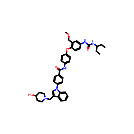 CCC(CC)NC(=O)Nc1ccc(Oc2ccc(NC(=O)c3ccc(-n4cc(CN5CCC(O)CC5)c5ccccc54)cc3)cc2)c(COC)c1